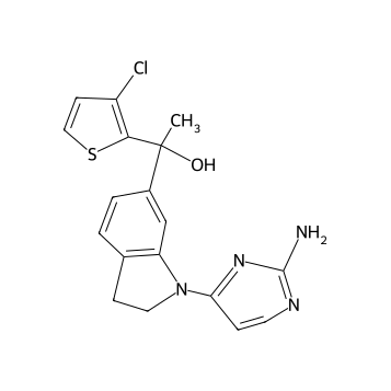 CC(O)(c1ccc2c(c1)N(c1ccnc(N)n1)CC2)c1sccc1Cl